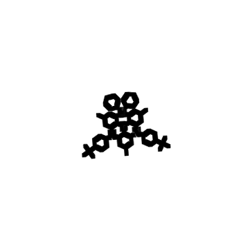 Cc1cc2c3c(c1)N(c1ccc(C(C)(C)C)cc1)c1cc(C)cc4c1B3c1c(cc(C)cc1[Si]4(c1ccccc1)c1ccccc1)N2c1ccc(C(C)(C)C)cc1